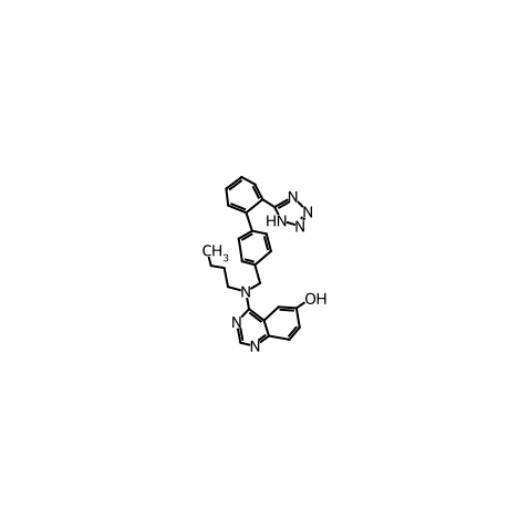 CCCCN(Cc1ccc(-c2ccccc2-c2nnn[nH]2)cc1)c1ncnc2ccc(O)cc12